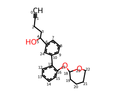 C#CCCC(O)c1cccc(-c2ccccc2OC2CCCCO2)c1